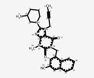 CC#CCn1c(N2CCCC(N)C2)nc2c1c(=O)n(Cc1cc(C#N)cc3ccccc13)c(=O)n2C